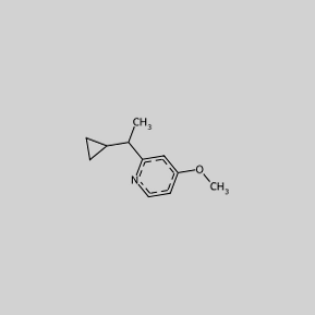 COc1ccnc(C(C)C2CC2)c1